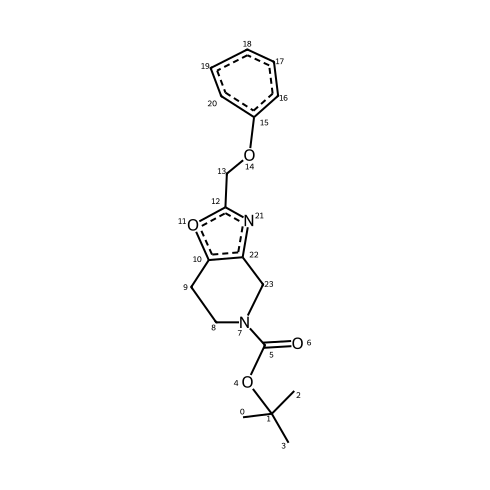 CC(C)(C)OC(=O)N1CCc2oc(COc3ccccc3)nc2C1